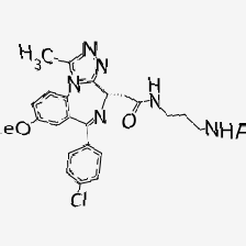 COc1ccc2c(c1)C(c1ccc(Cl)cc1)=N[C@@H](CC(=O)NCCCNC(C)=O)c1nnc(C)n1-2